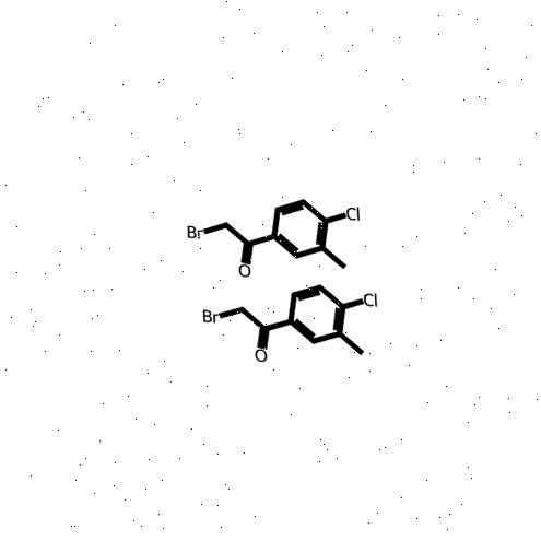 Cc1cc(C(=O)CBr)ccc1Cl.Cc1cc(C(=O)CBr)ccc1Cl